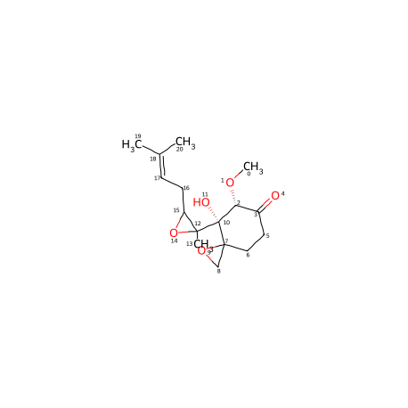 CO[C@@H]1C(=O)CCC2(CO2)[C@@]1(O)C1(C)OC1CC=C(C)C